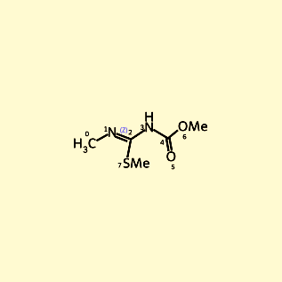 C/N=C(/NC(=O)OC)SC